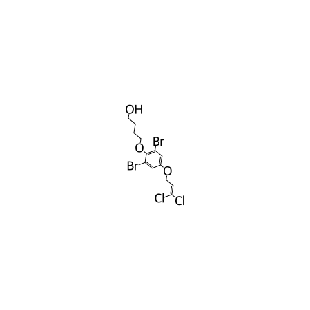 OCCCCOc1c(Br)cc(OCC=C(Cl)Cl)cc1Br